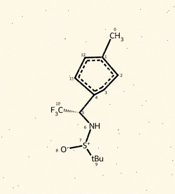 Cc1ccc([C@H](N[S+]([O-])C(C)(C)C)C(F)(F)F)cc1